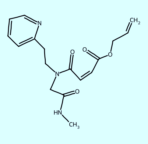 C=CCOC(=O)/C=C\C(=O)N(CCc1ccccn1)CC(=O)NC